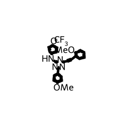 COc1ccc(-c2nc(C#Cc3ccccc3OC)nc(Nc3ccc(OC(F)(F)F)cc3)n2)cc1